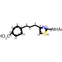 CC(=O)Nc1nc(CCCc2ccc(C(=O)O)cc2)cs1